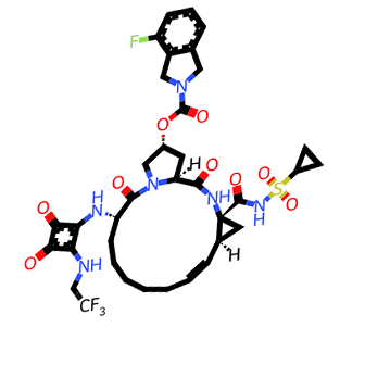 O=C1N[C@]2(C(=O)NS(=O)(=O)C3CC3)C[C@H]2/C=C\CCCCC[C@H](Nc2c(NCC(F)(F)F)c(=O)c2=O)C(=O)N2C[C@H](OC(=O)N3Cc4cccc(F)c4C3)C[C@@H]12